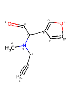 C#CCN(C)C(C=O)c1ccoc1